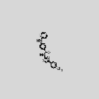 O=C(Nc1nc(-c2ccc(C(F)(F)F)cc2)cs1)c1ccc(Nc2ccncn2)cc1